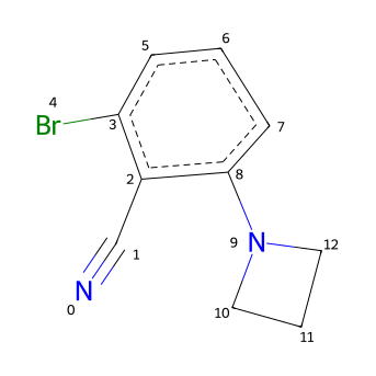 N#Cc1c(Br)cccc1N1CCC1